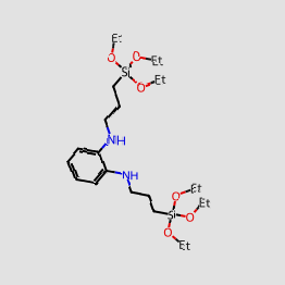 CCO[Si](CCCNc1ccccc1NCCC[Si](OCC)(OCC)OCC)(OCC)OCC